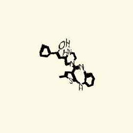 Cc1cc2c(s1)Nc1ccccc1N=C2N1CCNC(C[C@@H](O)c2ccccc2)C1